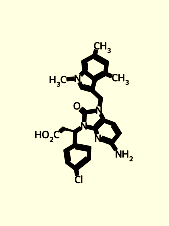 Cc1cc(C)c2c(Cn3c(=O)n([C@H](CC(=O)O)c4ccc(Cl)cc4)c4nc(N)ccc43)cn(C)c2c1